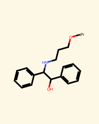 CC(C)OCCCNC(c1ccccc1)C(O)c1ccccc1